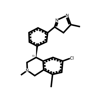 CC1=NN=C(c2cccc([C@@H]3CN(C)Cc4c(C)cc(Cl)cc43)c2)C1